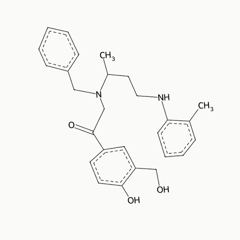 Cc1ccccc1NCCC(C)N(CC(=O)c1ccc(O)c(CO)c1)Cc1ccccc1